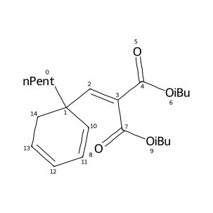 CCCCCC1(C=C(C(=O)OCC(C)C)C(=O)OCC(C)C)C=CC=CC1